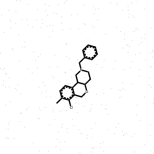 Cc1ccc2c(c1Cl)COC1CCN(Cc3ccccc3)CC21